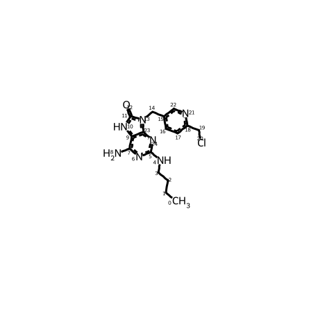 CCCCNc1nc(N)c2[nH]c(=O)n(Cc3ccc(CCl)nc3)c2n1